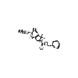 CSc1ncc2c(n1)CN(C(=O)OCc1ccccc1)C2(C)C